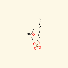 CCCCCCCCCOS(=O)(=O)[O-].CCOCC.[Na+]